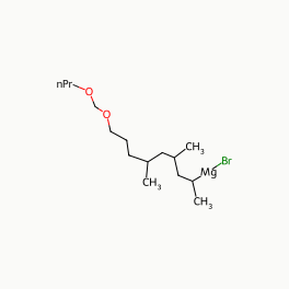 CCCOCOCCCC(C)CC(C)C[CH](C)[Mg][Br]